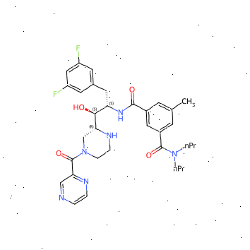 CCCN(CCC)C(=O)c1cc(C)cc(C(=O)N[C@@H](Cc2cc(F)cc(F)c2)[C@H](O)[C@H]2CN(C(=O)c3cnccn3)CCN2)c1